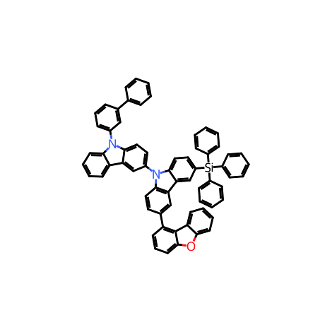 c1ccc(-c2cccc(-n3c4ccccc4c4cc(-n5c6ccc(-c7cccc8oc9ccccc9c78)cc6c6cc([Si](c7ccccc7)(c7ccccc7)c7ccccc7)ccc65)ccc43)c2)cc1